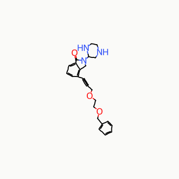 O=C1c2cccc(C#CCOCCOCc3ccccc3)c2CN1C1CNCCN1